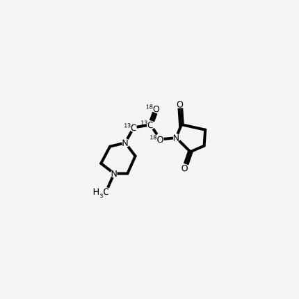 CN1CCN([13CH2][13C](=[18O])[18O]N2C(=O)CCC2=O)CC1